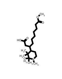 COC(=O)CCCCCCC(CC(=O)O)C1CCN(C)C(C)(C)C1(C)C